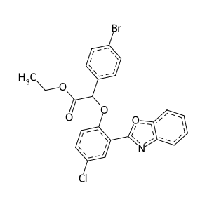 CCOC(=O)C(Oc1ccc(Cl)cc1-c1nc2ccccc2o1)c1ccc(Br)cc1